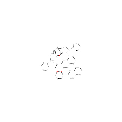 c1ccc(-c2ccc3ccccc3c2-c2c3cccc(-n4c(-c5ccccc5)nc5ccccc54)c3cc3c(-n4c(-c5ccccc5)nc5ccccc54)cccc23)cc1